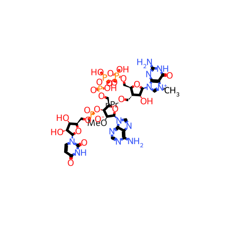 CCCOC[C@H]1[C@@H](O)[C@H](n2c[n+](C)c3c(=O)[nH]c(N)nc32)O[C@@H]1COP(=O)(O)OP(=O)(O)OP(=O)(O)OC[C@H]1O[C@@H](n2cnc3c(N)ncnc32)[C@H](OC)[C@@H]1OP(=O)([O-])OC[C@H]1O[C@@H](n2ccc(=O)[nH]c2=O)[C@H](O)[C@@H]1O